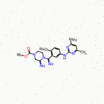 CNc1cc(C)nc(Nc2ccc(OC)c(C(=N)N3CCN(C(=O)OC(C)(C)C)CC3=N)c2)n1